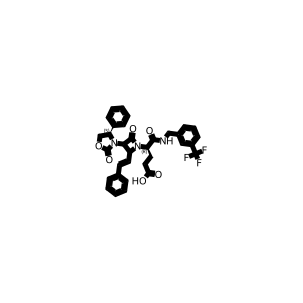 O=C(O)CC[C@H](C(=O)NCc1cccc(C(F)(F)F)c1)N1C(=O)C(N2C(=O)OC[C@@H]2c2ccccc2)C1C=Cc1ccccc1